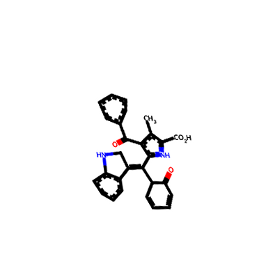 Cc1c(C(=O)O)[nH]c(C(=C2CNc3ccccc32)C2C=CC=CC2=O)c1C(=O)c1ccccc1